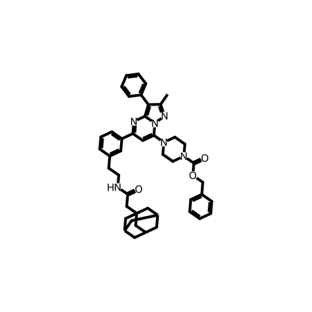 Cc1nn2c(N3CCN(C(=O)OCc4ccccc4)CC3)cc(-c3cccc(CCNC(=O)CC45CC6CC(CC(C6)C4)C5)c3)nc2c1-c1ccccc1